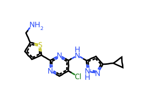 NCc1ccc(-c2ncc(Cl)c(Nc3cc(C4CC4)n[nH]3)n2)s1